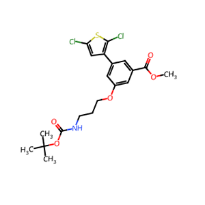 COC(=O)c1cc(OCCCNC(=O)OC(C)(C)C)cc(-c2cc(Cl)sc2Cl)c1